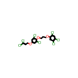 ClC(Cl)=CCOc1cc(Cl)c(OCCCOc2cc(Cl)c(Cl)cc2Cl)c(Cl)c1